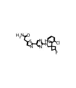 NC(=O)Cc1cnc(-c2cnc(NCC3(c4ncccc4Cl)CC(F)C3)nc2)s1